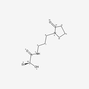 CC[C@H](O)C(=O)NCCCN1CCCC1=O